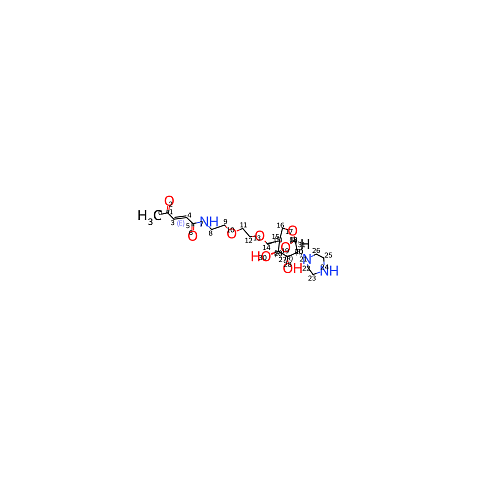 CC(=O)/C=C/C(=O)NCCOCCOC[C@@]12CO[C@H](O1)[C@H](N1CCNCC1)[C@@H](O)[C@H]2O